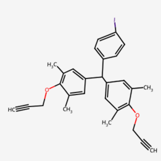 C#CCOc1c(C)cc(C(c2ccc(I)cc2)c2cc(C)c(OCC#C)c(C)c2)cc1C